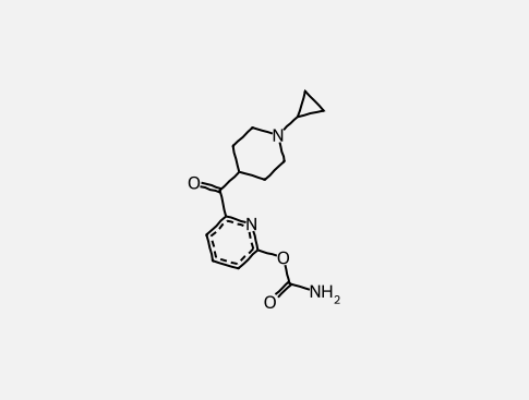 NC(=O)Oc1cccc(C(=O)C2CCN(C3CC3)CC2)n1